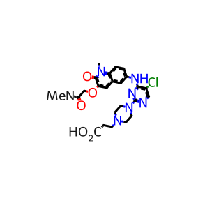 CNC(=O)COc1cc2cc(Nc3nc(N4CCN(CCC(=O)O)CC4)ncc3Cl)ccc2n(C)c1=O